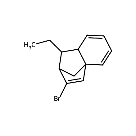 CCC1C2CC3(C=CC=CC13)C=C2Br